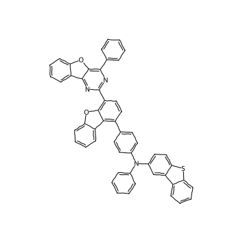 c1ccc(-c2nc(-c3ccc(-c4ccc(N(c5ccccc5)c5ccc6sc7ccccc7c6c5)cc4)c4c3oc3ccccc34)nc3c2oc2ccccc23)cc1